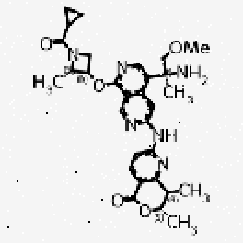 COC[C@@](C)(N)c1cnc(O[C@@H]2CN(C(=O)C3CC3)[C@H]2C)c2cnc(Nc3ccc4c(n3)[C@@H](C)[C@H](C)OC4=O)cc12